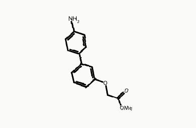 COC(=O)COc1cccc(-c2ccc(N)cc2)c1